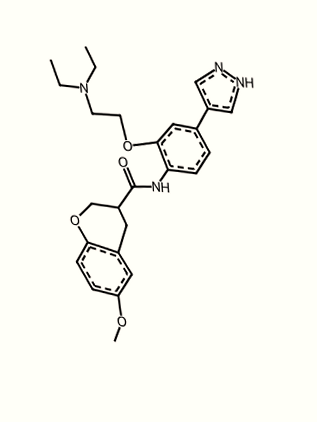 CCN(CC)CCOc1cc(-c2cn[nH]c2)ccc1NC(=O)C1COc2ccc(OC)cc2C1